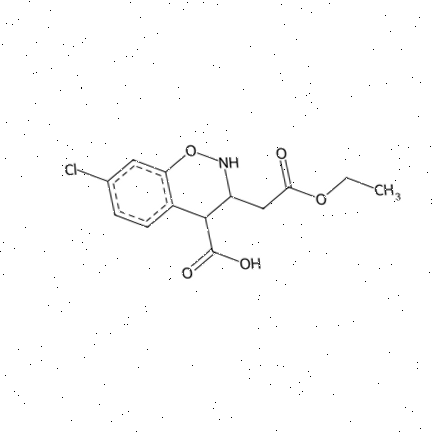 CCOC(=O)CC1NOc2cc(Cl)ccc2C1C(=O)O